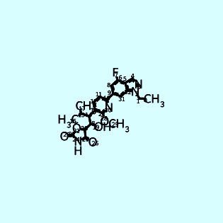 CCn1ncc2c(F)cc(-c3ccc(C(C(C)C)C(O)C4OC(=O)NC4=O)c(OC)n3)cc21